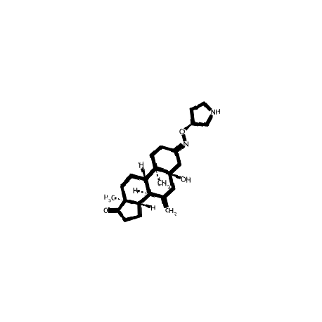 C=C1C[C@@]2(O)C/C(=N/O[C@H]3CCNC3)CC[C@]2(C)[C@H]2CC[C@]3(C)C(=O)CC[C@H]3[C@H]12